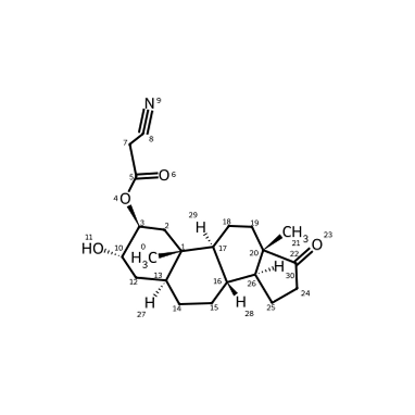 C[C@]12C[C@H](OC(=O)CC#N)[C@@H](O)C[C@@H]1CC[C@@H]1[C@@H]2CC[C@]2(C)C(=O)CC[C@@H]12